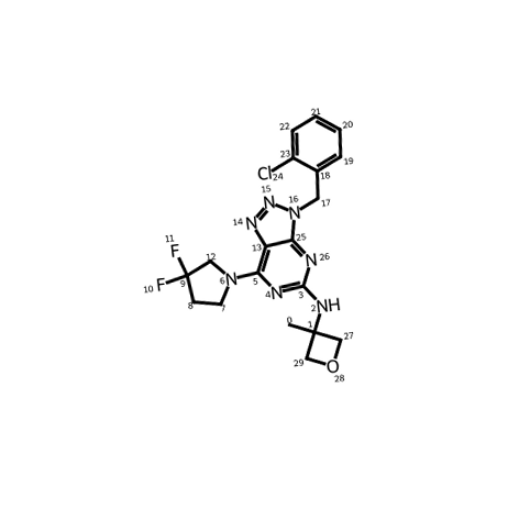 CC1(Nc2nc(N3CCC(F)(F)C3)c3nnn(Cc4ccccc4Cl)c3n2)COC1